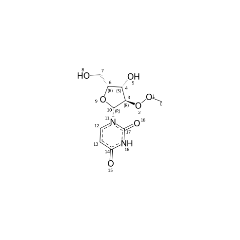 COO[C@@H]1[C@@H](O)[C@@H](CO)O[C@H]1n1ccc(=O)[nH]c1=O